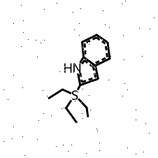 CCS(CC)(CC)c1cc2ccccc2[nH]1